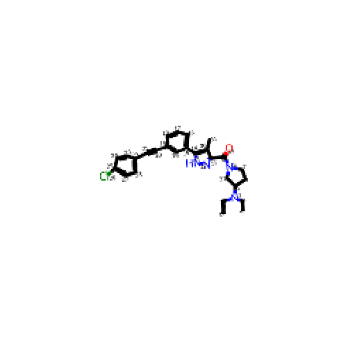 CCN(CC)C1CCN(C(=O)c2n[nH]c(-c3cccc(C#Cc4ccc(Cl)cc4)c3)c2C)C1